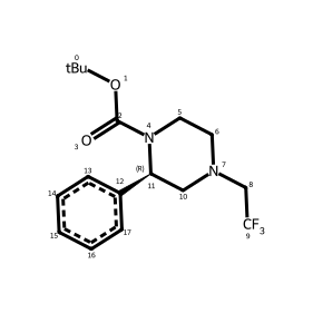 CC(C)(C)OC(=O)N1CCN(CC(F)(F)F)C[C@H]1c1ccccc1